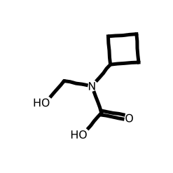 O=C(O)N(CO)C1CCC1